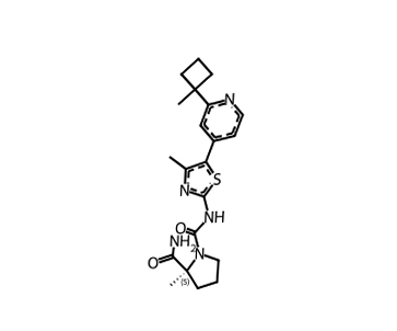 Cc1nc(NC(=O)N2CCC[C@@]2(C)C(N)=O)sc1-c1ccnc(C2(C)CCC2)c1